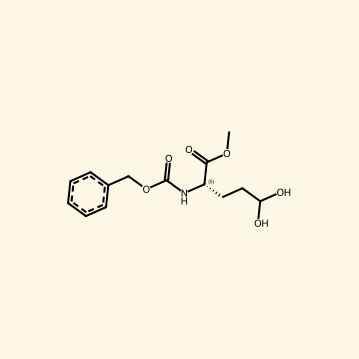 COC(=O)[C@H](CCC(O)O)NC(=O)OCc1ccccc1